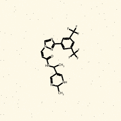 CC1N=CC(C(C)NC(=O)/C=C\n2cnc(-c3cc(C(F)(F)F)cc(C(F)(F)F)c3)n2)=CN1